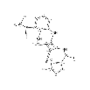 CCC(Nc1c(Nc2cccc(C(=O)N(C)C)c2O)c(=O)c1=O)c1ccc(C)o1